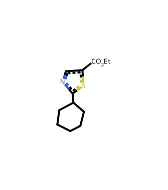 CCOC(=O)c1cnc(C2CCCCC2)s1